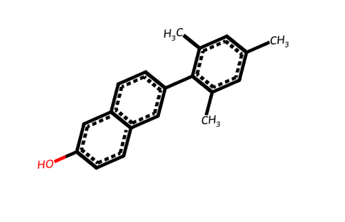 Cc1cc(C)c(-c2ccc3cc(O)ccc3c2)c(C)c1